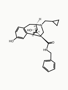 O=C(NCc1ccccc1)[C@H]1C[C@]23CCN(CC4CC4)[C@H](Cc4ccc(O)cc42)[C@]3(O)C1